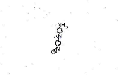 Nc1ccc(/N=N/c2ccc(N=C=O)cc2)cc1